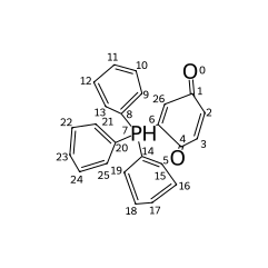 O=C1C=CC(=O)C([PH](c2ccccc2)(c2ccccc2)c2ccccc2)=C1